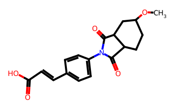 COC1CCC2C(=O)N(c3ccc(C=CC(=O)O)cc3)C(=O)C2C1